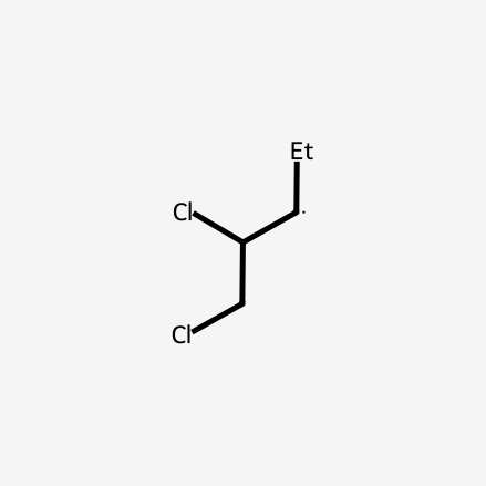 CC[CH]C(Cl)CCl